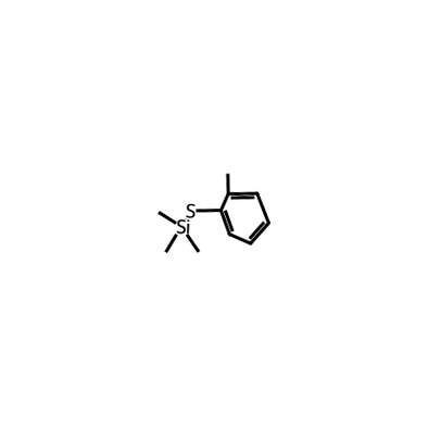 Cc1ccccc1S[Si](C)(C)C